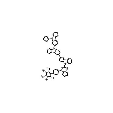 [2H]c1c([2H])c([2H])c(-c2ccc(-c3nc(-n4c5ccccc5c5cc(C6=CC7c8ccccc8N(c8ccc9c%10ccccc%10n(-c%10ccccc%10)c9c8)C7C=C6)ccc54)nc4ccccc34)cc2)c([2H])c1[2H]